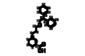 O=C(O)[C@@H]1CCCN(CCCOCC(c2ccccc2)c2ccccc2)C1